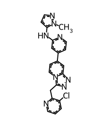 Cn1nccc1Nc1cc(-c2ccn3c(Cc4ncccc4Cl)nnc3c2)ccn1